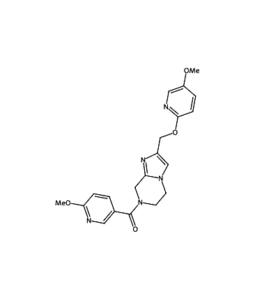 COc1ccc(OCc2cn3c(n2)CN(C(=O)c2ccc(OC)nc2)CC3)nc1